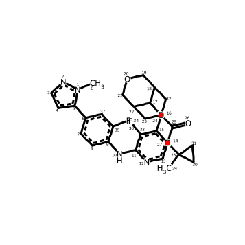 Cn1nccc1-c1ccc(Nc2ncnc(OC3C4COCC3CN(C(=O)OC3(C)CC3)C4)c2F)c(F)c1